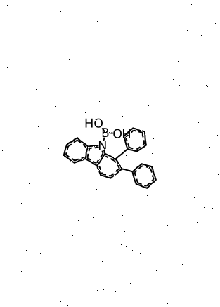 OB(O)n1c2ccccc2c2ccc(-c3ccccc3)c(-c3ccccc3)c21